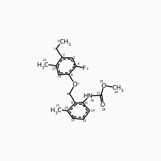 CCc1cc(F)c(OCc2c(C)cccc2NC(=O)OC)cc1C